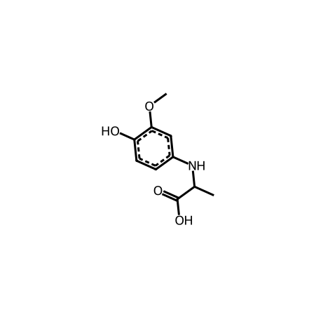 COc1cc(NC(C)C(=O)O)ccc1O